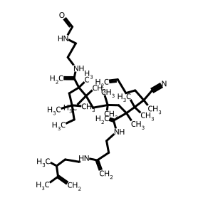 C=CCCC(C)(C#N)C(C)(C)C(C)(CC(C)(C)CC(C)(C)C(C)(CC(C)(C)CC)C(=C)NCCNC=O)C(=C)NCCC(=C)NCCC(C)C(=C)C